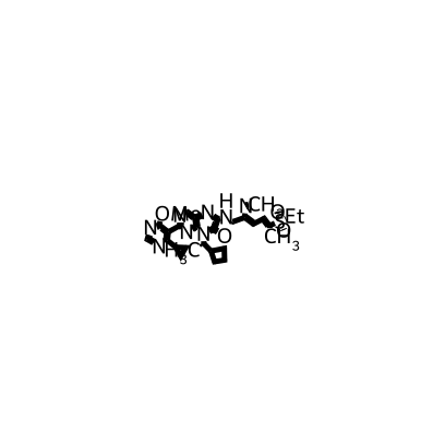 C=N/C(=C\C=C(/C)S(=O)(=O)CC)CNc1nc2cnc(-c3c(OC)ncnc3C3CC3)nc2n([C@H](C)C2CCC2)c1=O